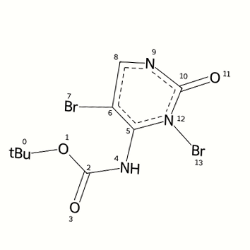 CC(C)(C)OC(=O)Nc1c(Br)cnc(=O)n1Br